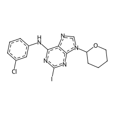 Clc1cccc(Nc2nc(I)nc3c2ncn3C2CCCCO2)c1